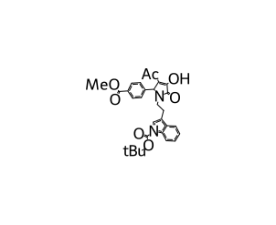 COC(=O)c1ccc(C2C(C(C)=O)=C(O)C(=O)N2CCc2cn(C(=O)OC(C)(C)C)c3ccccc23)cc1